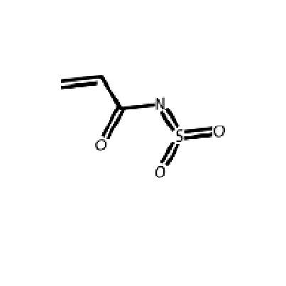 C=CC(=O)N=S(=O)=O